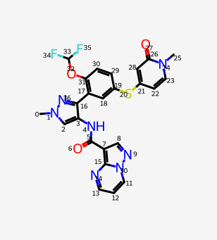 Cn1cc(NC(=O)c2cnn3cccnc23)c(-c2cc(Sc3ccn(C)c(=O)c3)ccc2OC(F)F)n1